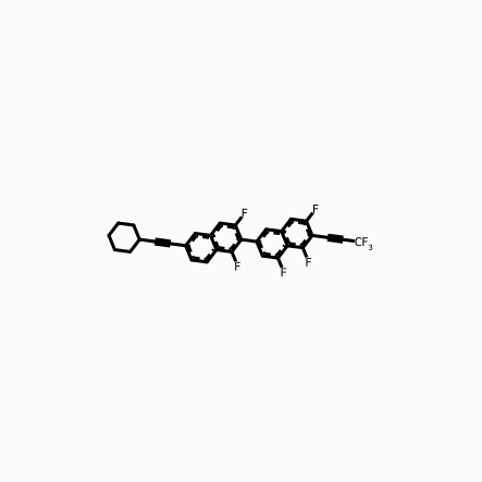 Fc1cc2cc(-c3c(F)cc4cc(C#CC5CCCCC5)ccc4c3F)cc(F)c2c(F)c1C#CC(F)(F)F